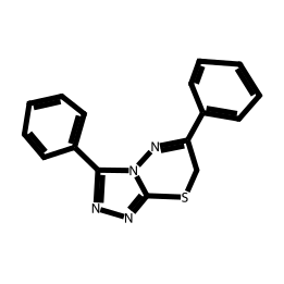 c1ccc(C2=Nn3c(nnc3-c3ccccc3)SC2)cc1